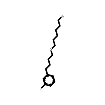 BrCCCCCCOCCCCc1cccc(I)c1